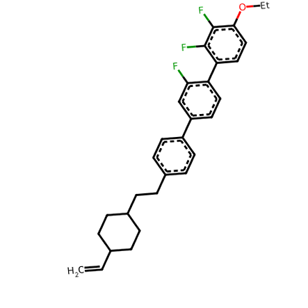 C=CC1CCC(CCc2ccc(-c3ccc(-c4ccc(OCC)c(F)c4F)c(F)c3)cc2)CC1